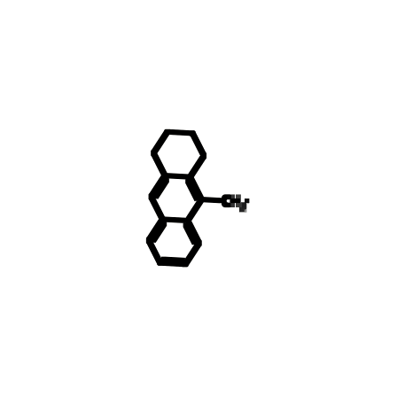 [CH2]c1c2c(cc3ccccc13)CCCC2